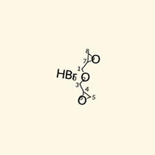 Br.C(OCC1CO1)C1CO1